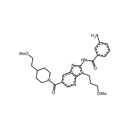 COCCCn1c(NC(=O)c2cccc(N)c2)nc2cc(C(=O)N3CCC(CCOC)CC3)cnc21